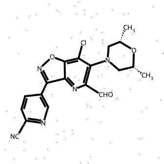 C[C@@H]1CN(c2c(C=O)nc3c(-c4ccc(C#N)nc4)noc3c2Cl)C[C@H](C)O1